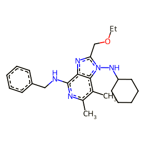 CCOCc1nc2c(NCc3ccccc3)nc(C)c(C)c2n1NC1CCCCC1